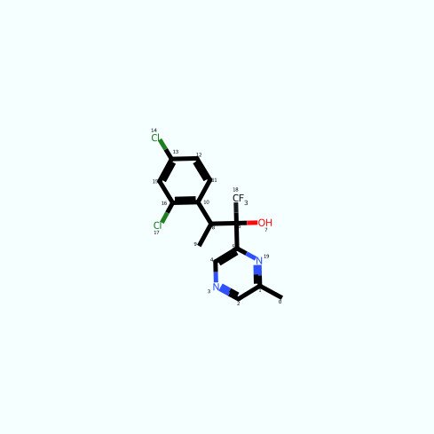 Cc1cncc(C(O)(C(C)c2ccc(Cl)cc2Cl)C(F)(F)F)n1